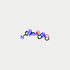 N#Cc1ccc2nc(CNC(=O)c3cccc4c3cnn4C3CCCCO3)cn2c1